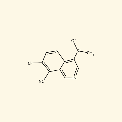 C[S+]([O-])c1cncc2c(C#N)c(Cl)ccc12